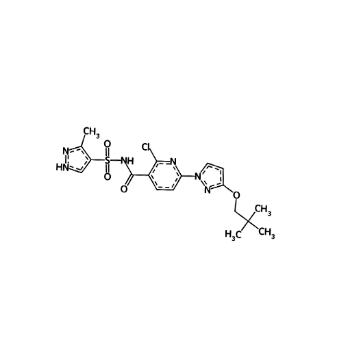 Cc1n[nH]cc1S(=O)(=O)NC(=O)c1ccc(-n2ccc(OCC(C)(C)C)n2)nc1Cl